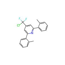 Cc1ccccc1-c1cc(C(F)(F)Cl)cc(-c2ccccc2C)n1